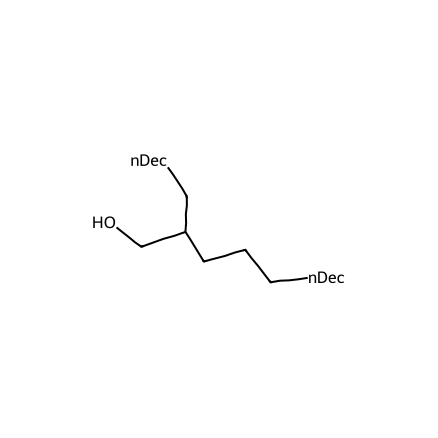 CCCCCCCCCCCCCC(CO)CCCCCCCCCCC